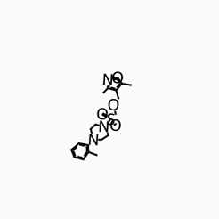 Cc1ccccc1N1CCN(S(=O)(=O)COCc2c(C)noc2C)CC1